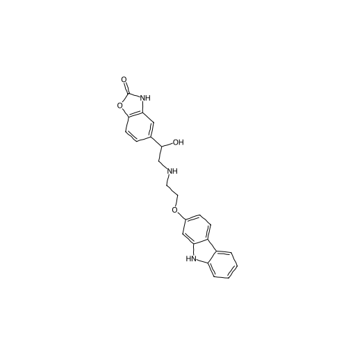 O=c1[nH]c2cc(C(O)CNCCOc3ccc4c(c3)[nH]c3ccccc34)ccc2o1